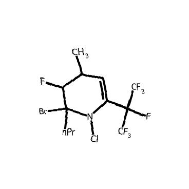 CCCC1(Br)[C](F)C(C)C=C(C(F)(C(F)(F)F)C(F)(F)F)N1Cl